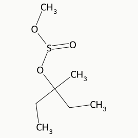 CCC(C)(CC)OS(=O)OC